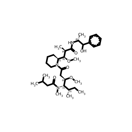 CC[C@H](C)[C@@H]([C@@H](CC(=O)N1CCCC[C@H]1[C@H](OC)[C@@H](C)C(=O)N[C@H](C)C(O)c1ccccc1)OC)N(C)C(=O)CC(C)C